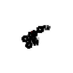 BrCc1ccc(-c2cccc(-c3nnnn3C(c3ccccc3)(c3ccccc3)c3ccccc3)c2)cc1